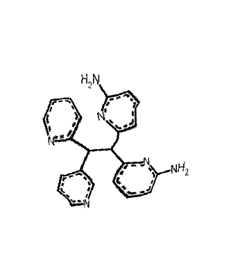 Nc1cccc(C(c2cccc(N)n2)C(c2cccnc2)c2ccccn2)n1